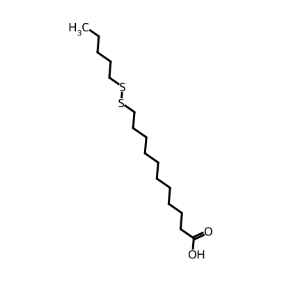 CCCCCSSCCCCCCCCCCC(=O)O